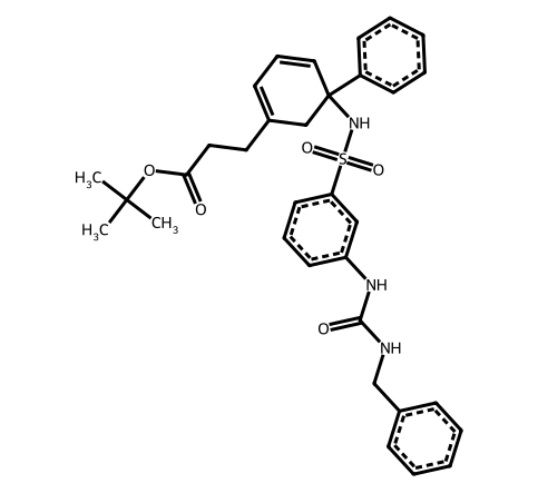 CC(C)(C)OC(=O)CCC1=CC=CC(NS(=O)(=O)c2cccc(NC(=O)NCc3ccccc3)c2)(c2ccccc2)C1